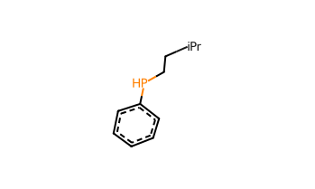 CC(C)CCPc1ccccc1